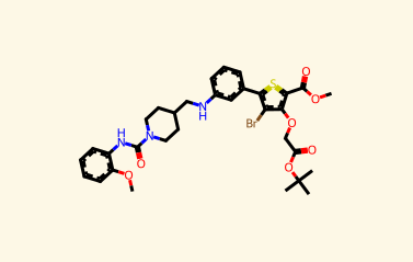 COC(=O)c1sc(-c2cccc(NCC3CCN(C(=O)Nc4ccccc4OC)CC3)c2)c(Br)c1OCC(=O)OC(C)(C)C